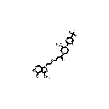 Cc1nn(CCOCCC(=O)N2CCN(c3ncc(C(F)(F)F)cn3)C(C)C2)c2cn[nH]c(=O)c12